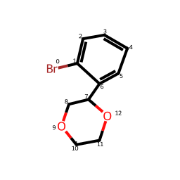 Brc1ccccc1C1CO[CH]CO1